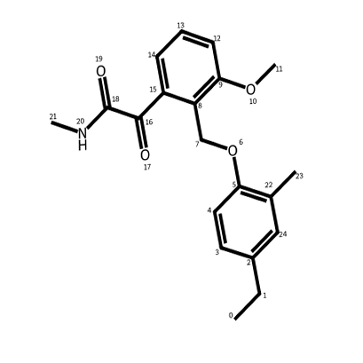 CCc1ccc(OCc2c(OC)cccc2C(=O)C(=O)NC)c(C)c1